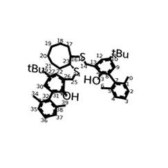 Cc1cccc(C)c1-c1cc(C(C)(C)C)cc(CSC2CCCCCC[C@@H]2SCc2cc(C(C)(C)C)cc(-c3c(C)cccc3C)c2O)c1O